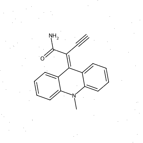 C#CC(C(N)=O)=C1c2ccccc2N(C)c2ccccc21